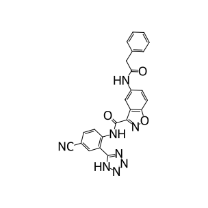 N#Cc1ccc(NC(=O)c2noc3ccc(NC(=O)Cc4ccccc4)cc23)c(-c2nnn[nH]2)c1